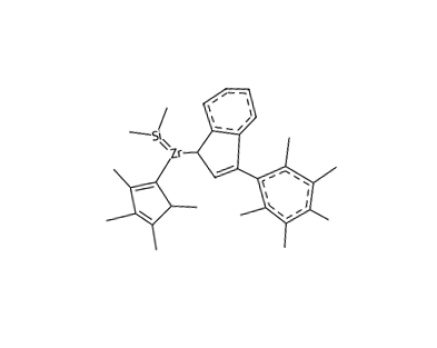 CC1=C(C)C(C)[C]([Zr]([CH]2C=C(c3c(C)c(C)c(C)c(C)c3C)c3ccccc32)=[Si](C)C)=C1C